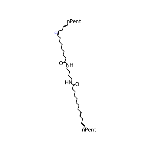 CCCCCC=CCC=CCCCCCCCC(=O)NCCCCNC(=O)CCCCCCC/C=C\CC=CCCCCC